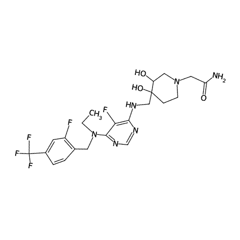 CCN(Cc1ccc(C(F)(F)F)cc1F)c1ncnc(NCC2(O)CCN(CC(N)=O)CC2O)c1F